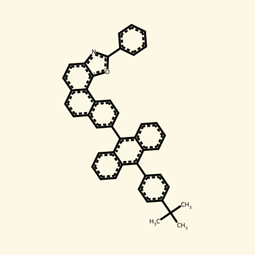 CC(C)(C)c1ccc(-c2c3ccccc3c(-c3ccc4c(ccc5ccc6nc(-c7ccccc7)oc6c54)c3)c3ccccc23)cc1